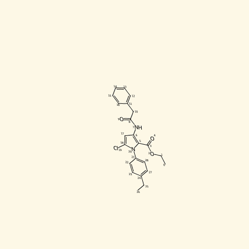 CCOC(=O)c1c(NC(=O)Cc2ccccc2)cc(Cl)n1-c1ccc(CC)cc1